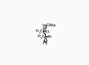 CCC(C)(CCC(C)(C(C)C)N1CC(F)(F)C1)NCCOC